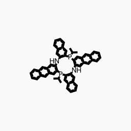 CC(C)P1c2cc3ccccc3cc2Nc2cc3cc4ccccc4cc3cc2P(C(C)C)c2cc3ccccc3cc2Nc2cc3cc4ccccc4cc3cc21